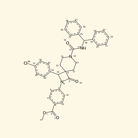 COC(=O)c1ccc(N2C(=O)C3(CCN(C(=O)NC(c4ccccc4)c4ccccc4)CC3)C2c2ccc(Cl)cc2)cc1